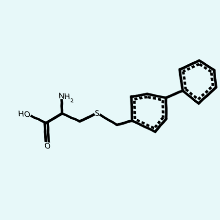 NC(CSCc1ccc(-c2ccccc2)cc1)C(=O)O